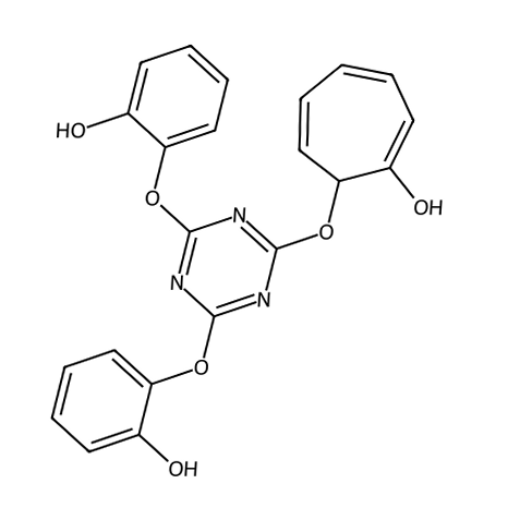 OC1=CC=CC=CC1Oc1nc(Oc2ccccc2O)nc(Oc2ccccc2O)n1